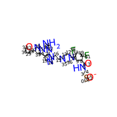 C[S@@+]([O-])CCNC(=O)c1cc(N2CCN(CCn3ncc4c3nc(N)n3nc(-c5ccco5)cc43)CC2)c(F)cc1F